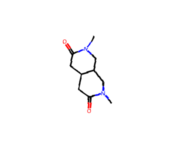 CN1CC2CN(C)C(=O)CC2CC1=O